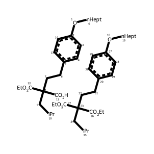 CCCCCCCOc1ccc(CCC(CC(C)C)(C(=O)O)C(=O)OCC)cc1.CCCCCCCOc1ccc(CCC(CC(C)C)(C(=O)OCC)C(=O)OCC)cc1